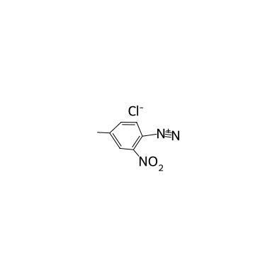 Cc1ccc([N+]#N)c([N+](=O)[O-])c1.[Cl-]